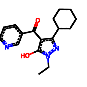 CCn1nc(C2CCCCC2)c(C(=O)c2cccnc2)c1O